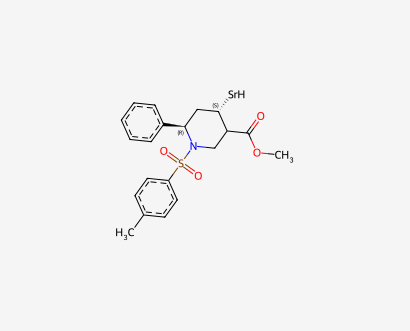 COC(=O)C1CN(S(=O)(=O)c2ccc(C)cc2)[C@@H](c2ccccc2)C[C@@H]1[SrH]